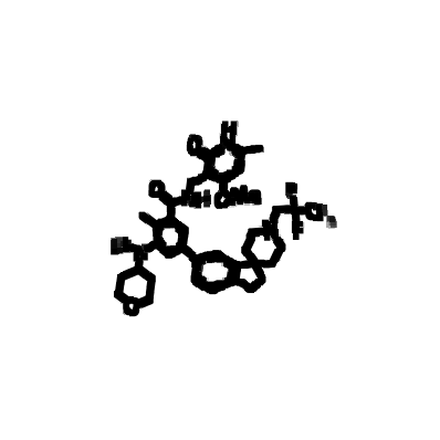 CCN(c1cc(-c2ccc3c(c2)C2(CC3)CCN(CC(F)(F)C(F)(F)F)CC2)cc(C(=O)NCc2c(OC)cc(C)[nH]c2=O)c1C)C1CCOCC1